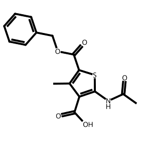 CC(=O)Nc1sc(C(=O)OCc2ccccc2)c(C)c1C(=O)O